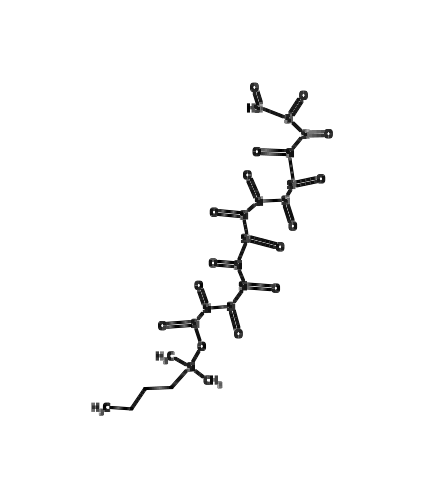 CCCC[Si](C)(C)O[Si](=O)[Si](=O)[Si](=O)[Si](=O)[Si](=O)[Si](=O)[Si](=O)[Si](=O)[Si](=O)[Si](=O)[Si](=O)[Si](=O)[Si](=O)[SiH]=O